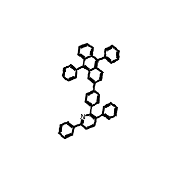 c1ccc(-c2ccc(-c3ccccc3)c(-c3ccc(-c4ccc5c(-c6ccccc6)c6ccccc6c(-c6ccccc6)c5c4)cc3)n2)cc1